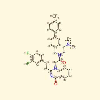 CCN(CC)CCN(Cc1ccc(-c2ccc(C(F)(F)F)cc2)cc1)C(=O)Cn1c(CCc2ccc(F)c(F)c2)nc(=O)c2ccccc21